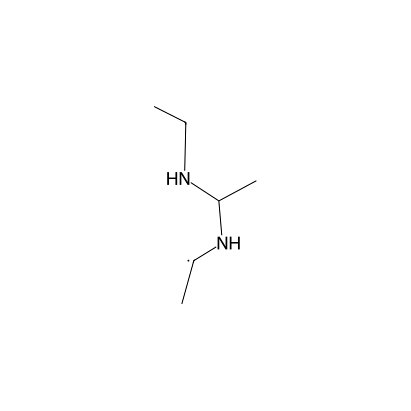 C[CH]NC(C)NCC